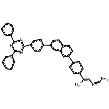 C/C(=C\N=C/N)c1ccc(-c2ccc3ccc(-c4ccc(-c5nc(-c6ccccc6)nc(-c6ccccc6)n5)cc4)cc3c2)cc1